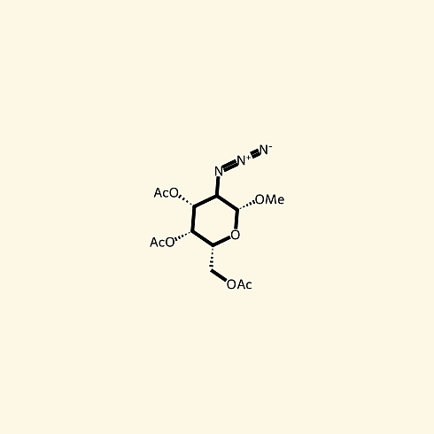 CO[C@@H]1O[C@H](COC(C)=O)[C@H](OC(C)=O)[C@H](OC(C)=O)C1N=[N+]=[N-]